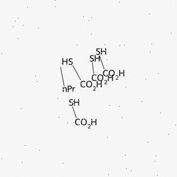 CCCC.O=C(O)S.O=C(O)S.O=C(O)S.O=C(O)S